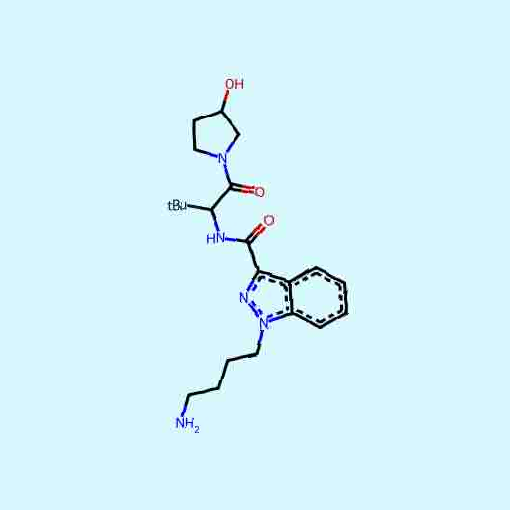 CC(C)(C)C(NC(=O)c1nn(CCCCN)c2ccccc12)C(=O)N1CCC(O)C1